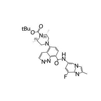 Cc1cn2cc(NC(=O)c3ccc(N4C[C@@H](C)N(C(=O)OC(C)(C)C)[C@@H](C)C4)c4ccnnc34)cc(F)c2n1